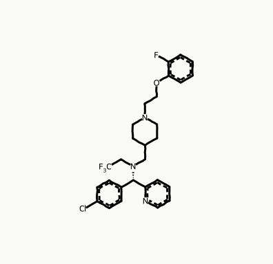 Fc1ccccc1OCCN1CCC(CN(CC(F)(F)F)[C@@H](c2ccc(Cl)cc2)c2ccccn2)CC1